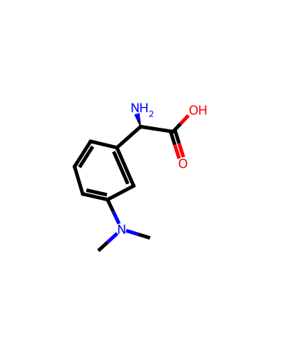 CN(C)c1cccc([C@@H](N)C(=O)O)c1